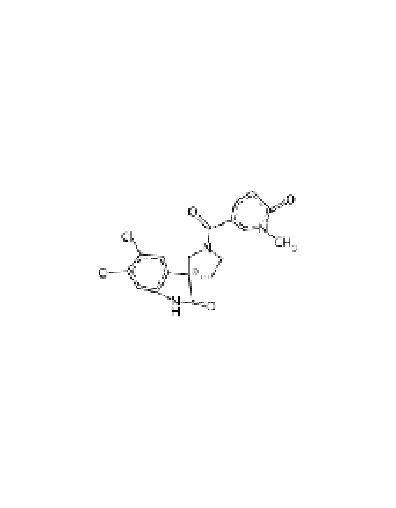 Cn1cc(C(=O)N2CC[C@]3(C2)C(=O)Nc2cc(Cl)c(Cl)cc23)ccc1=O